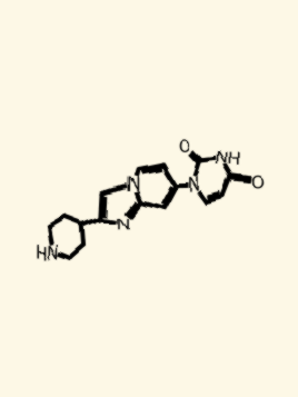 O=c1ccn(-c2ccn3cc(C4CCNCC4)nc3c2)c(=O)[nH]1